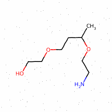 CC(CCOCCO)OCCN